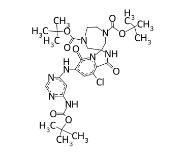 CC(C)(C)OC(=O)Nc1cc(Nc2cc(Cl)c3n(c2=O)C2(CN(C(=O)OC(C)(C)C)CCN(C(=O)OC(C)(C)C)C2)NC3=O)ncn1